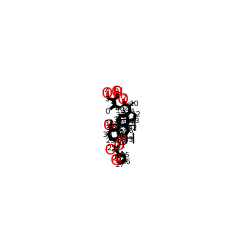 CC1=C(CO)C(=O)O[C@@H]([C@@H](C)[C@H]2CC[C@H]3[C@@H]4C[C@H]5O[C@]56[C@@H](OC(=O)c5ccco5)C=CC(=O)[C@]6(C)[C@H]4CC[C@]23C)C1